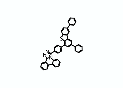 c1ccc(-c2ccc3sc4c(-c5ccc(-c6nnc7c8ccccc8c8ccccc8n67)cc5)cc(-c5ccccc5)cc4c3c2)cc1